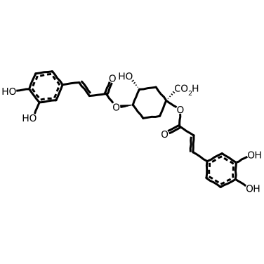 O=C(/C=C/c1ccc(O)c(O)c1)O[C@@H]1CC[C@@](OC(=O)/C=C/c2ccc(O)c(O)c2)(C(=O)O)C[C@H]1O